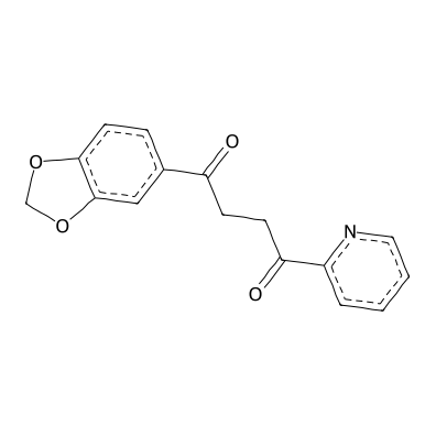 O=C(CCC(=O)c1ccccn1)c1ccc2c(c1)OCO2